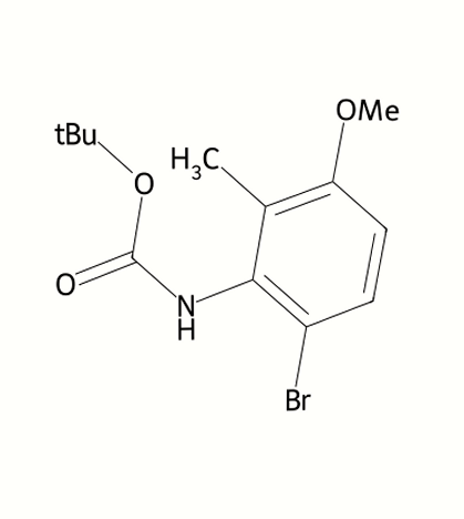 COc1ccc(Br)c(NC(=O)OC(C)(C)C)c1C